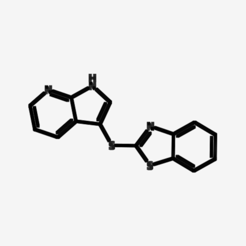 c1ccc2sc(Sc3c[nH]c4ncccc34)nc2c1